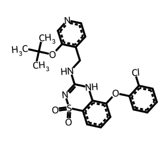 CC(C)(C)Oc1cnccc1CNC1=NS(=O)(=O)c2cccc(Oc3ccccc3Cl)c2N1